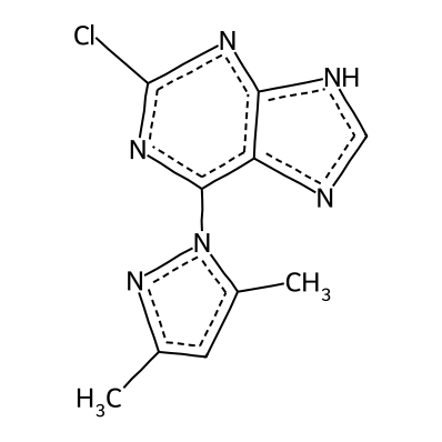 Cc1cc(C)n(-c2nc(Cl)nc3[nH]cnc23)n1